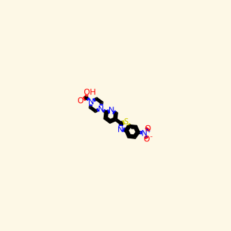 O=C(O)N1CCN(c2ccc(-c3nc4ccc([N+](=O)[O-])cc4s3)cn2)CC1